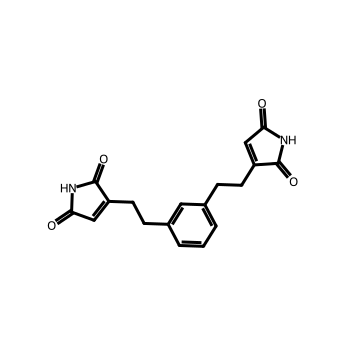 O=C1C=C(CCc2cccc(CCC3=CC(=O)NC3=O)c2)C(=O)N1